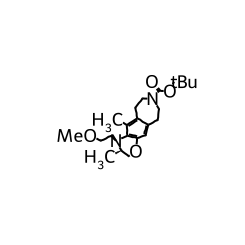 COCCN1c2c(cc3c(c2C)CCN(C(=O)OC(C)(C)C)CC3)OC[C@H]1C